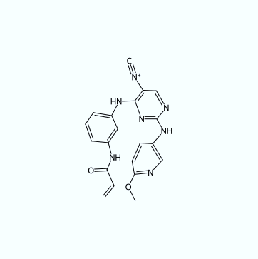 [C-]#[N+]c1cnc(Nc2ccc(OC)nc2)nc1Nc1cccc(NC(=O)C=C)c1